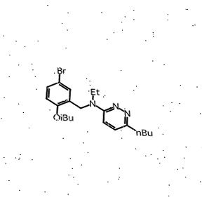 CCCCc1ccc(N(CC)Cc2cc(Br)ccc2OCC(C)C)nn1